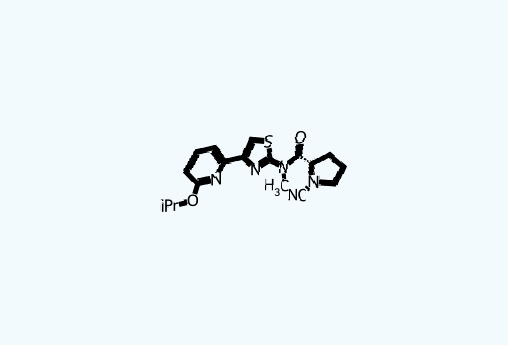 CC(C)Oc1cccc(-c2csc(N(C)C(=O)[C@@H]3CCCN3C#N)n2)n1